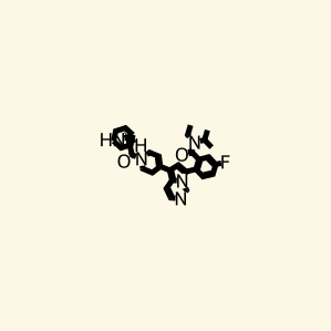 CCN(C(=O)c1cc(F)ccc1-c1cc(C2=CCN(C(=O)[C@@H]3NC4CCC3CC4)CC2)c2ccncn12)C(C)C